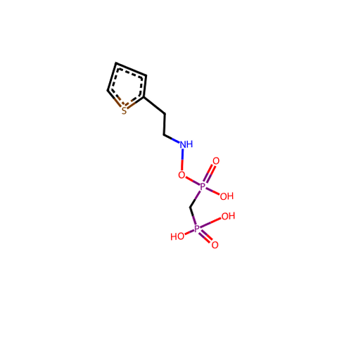 O=P(O)(O)CP(=O)(O)ONCCc1cccs1